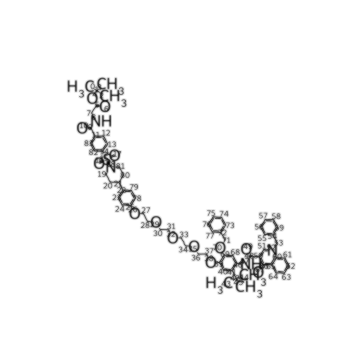 CC(C)(C)OC(=O)CNC(=O)c1ccc(S(=O)(=O)N2CCC(c3ccc(OCCOCCOCCOCCOc4cc(C(C)(C)C)c(NC(=O)c5cn(Cc6ccccc6)c6ccccc6c5=O)cc4OCc4ccccc4)cc3)CC2)cc1